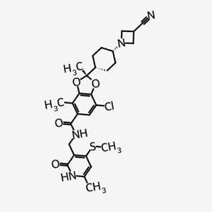 CSc1cc(C)[nH]c(=O)c1CNC(=O)c1cc(Cl)c2c(c1C)O[C@](C)([C@H]1CC[C@@H](N3CC(C#N)C3)CC1)O2